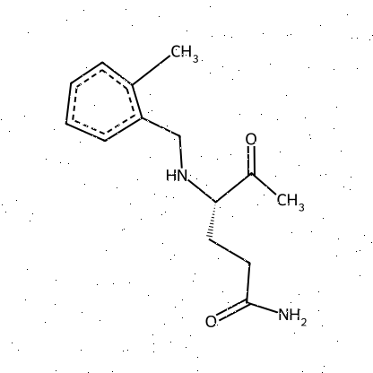 CC(=O)[C@H](CCC(N)=O)NCc1ccccc1C